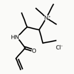 C=CC(=O)NC(C)C(CC)[N+](C)(C)C.[Cl-]